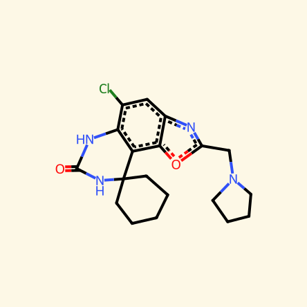 O=C1Nc2c(Cl)cc3nc(CN4CCCC4)oc3c2C2(CCCCC2)N1